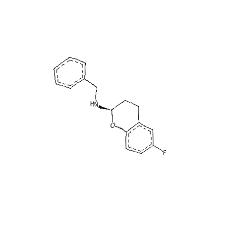 Fc1ccc2c(c1)CC[C@H](NCc1ccccc1)O2